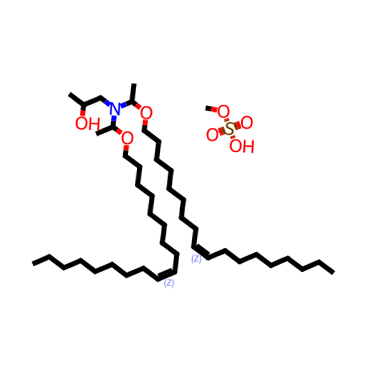 CCCCCCCC/C=C\CCCCCCCCOC(C)N(CC(C)O)C(C)OCCCCCCCC/C=C\CCCCCCCC.COS(=O)(=O)O